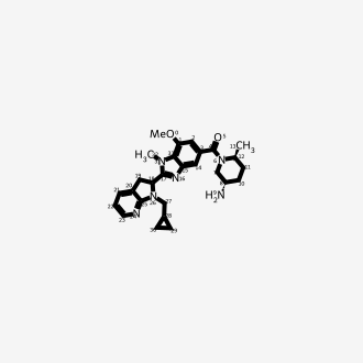 COc1cc(C(=O)N2C[C@@H](N)CC[C@@H]2C)cc2nc(C3Cc4cccnc4N3CC3CC3)n(C)c12